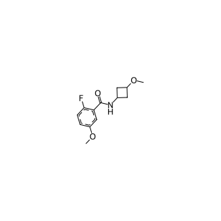 COc1ccc(F)c(C(=O)NC2CC(OC)C2)c1